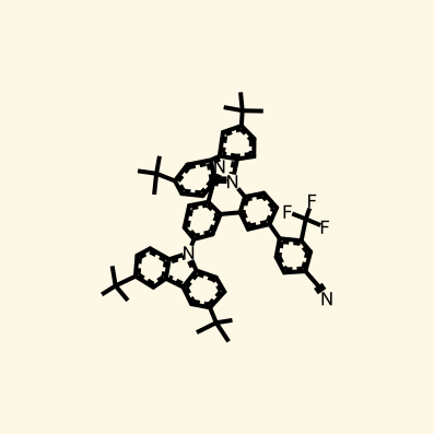 CC(C)(C)c1ccc2c(c1)c1cc(C(C)(C)C)ccc1n2-c1ccc(C#N)c(-c2cc(-c3ccc(C#N)cc3C(F)(F)F)ccc2-n2c3ccc(C(C)(C)C)cc3c3cc(C(C)(C)C)ccc32)c1